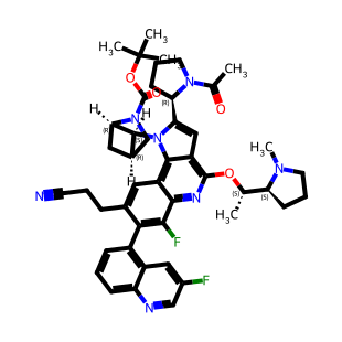 CC(=O)N1CCC[C@@H]1c1cc2c(O[C@@H](C)[C@@H]3CCCN3C)nc3c(F)c(-c4cccc5ncc(F)cc45)c(CCC#N)cc3c2n1[C@H]1[C@@H]2C[C@H]1N(C(=O)OC(C)(C)C)C2